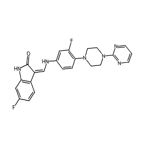 O=C1Nc2cc(F)ccc2C1=CNc1ccc(N2CCN(c3ncccn3)CC2)c(F)c1